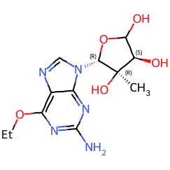 CCOc1nc(N)nc2c1ncn2[C@@H]1OC(O)[C@@H](O)[C@@]1(C)O